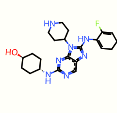 O[C@H]1CC[C@H](Nc2ncc3nc(NC4=CCCC=C4F)n(C4CCNCC4)c3n2)CC1